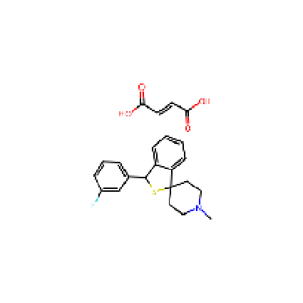 CN1CCC2(CC1)SC(c1cccc(F)c1)c1ccccc12.O=C(O)C=CC(=O)O